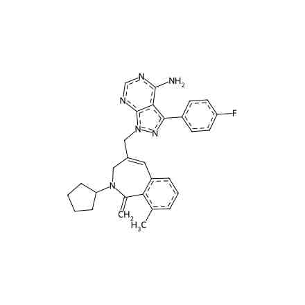 C=C1c2c(C)cccc2C=C(Cn2nc(-c3ccc(F)cc3)c3c(N)ncnc32)CN1C1CCCC1